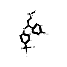 CNCCC(Oc1ccc(C(F)(F)F)cc1)c1ccc(F)cc1